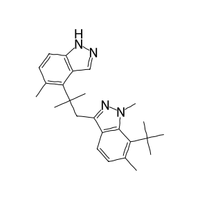 Cc1ccc2[nH]ncc2c1C(C)(C)Cc1nn(C)c2c(C(C)(C)C)c(C)ccc12